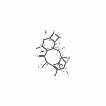 CC1=C2[C@@H](O)C(=O)[C@@]3(C)[C@H]([C@H](C)[C@](O)(C[C@@H]1C)C2(C)C)[C@]1(C)CO[C@@H]1C[C@@H]3C